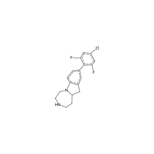 Fc1cc(Cl)cc(F)c1-c1ccc2c(c1)CC1CCNCCN21